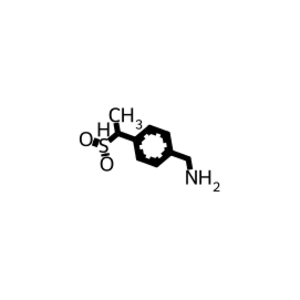 CC(c1ccc(CN)cc1)[SH](=O)=O